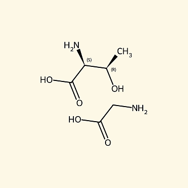 C[C@@H](O)[C@H](N)C(=O)O.NCC(=O)O